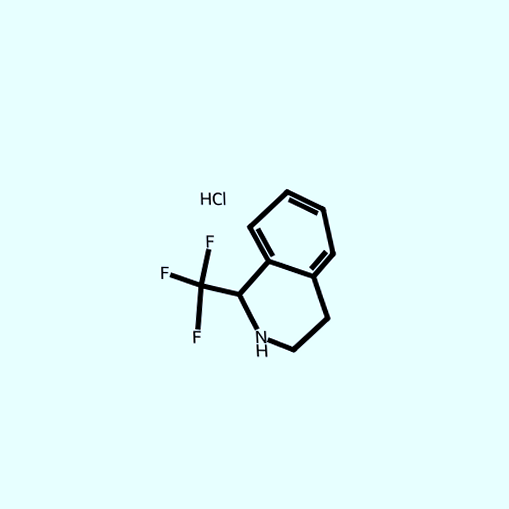 Cl.FC(F)(F)C1NCCc2ccccc21